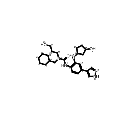 O=C(Nc1ccc(-c2cn[nH]c2)cc1OC1CCC(O)C1)N(CCCO)CC1CCCCC1